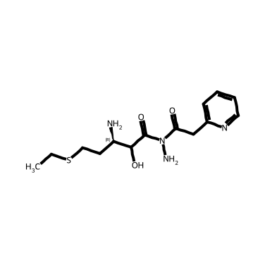 CCSCC[C@@H](N)C(O)C(=O)N(N)C(=O)Cc1ccccn1